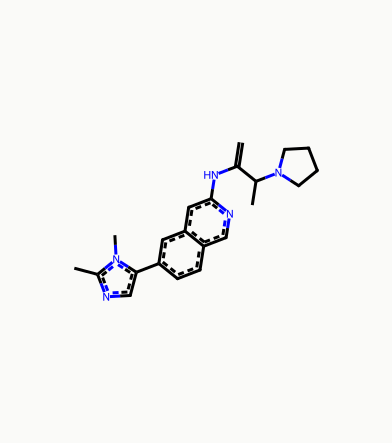 C=C(Nc1cc2cc(-c3cnc(C)n3C)ccc2cn1)C(C)N1CCCC1